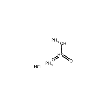 Cl.O=[SH](=O)O.P.P